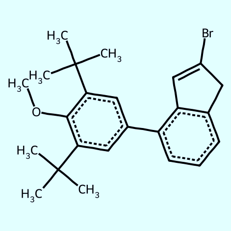 COc1c(C(C)(C)C)cc(-c2cccc3c2C=C(Br)C3)cc1C(C)(C)C